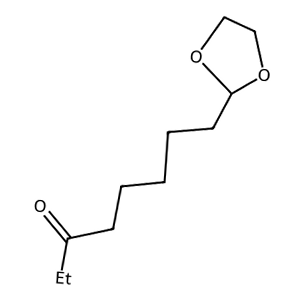 CCC(=O)CCCCCC1OCCO1